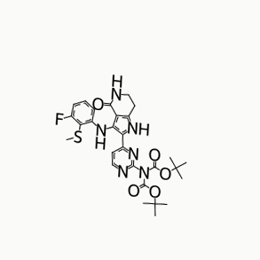 CSc1c(F)cccc1Nc1c(-c2ccnc(N(C(=O)OC(C)(C)C)C(=O)OC(C)(C)C)n2)[nH]c2c1C(=O)NCC2